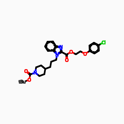 CC(C)(C)OC(=O)N1CCC(CCCn2c(C(=O)OCCOc3ccc(Cl)cc3)nc3ccccc32)CC1